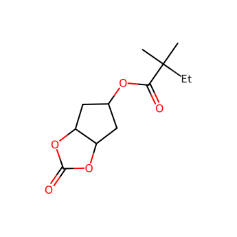 CCC(C)(C)C(=O)OC1CC2OC(=O)OC2C1